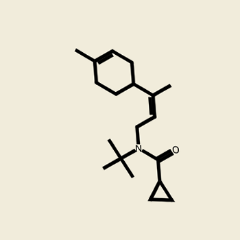 CC1=CCC(/C(C)=C\CN(C(=O)C2CC2)C(C)(C)C)CC1